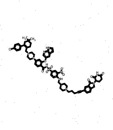 CC1(C)CCC(CN2CCN(c3ccc(C(=O)NS(=O)(=O)c4ccc(NCC5CCN(CCCC#Cc6ccc7c(c6)C(=O)N(C6CCC(=O)NC6=O)C7)CC5)c([N+](=O)[O-])c4)c(Oc4cnc5[nH]ccc5c4)c3)CC2)=C(c2ccc(Cl)cc2)C1